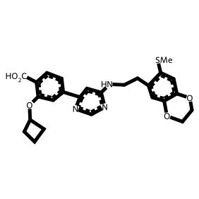 CSc1cc2c(cc1CCNc1cc(-c3ccc(C(=O)O)c(OC4CCC4)c3)ncn1)OCCO2